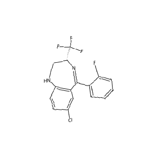 Fc1ccccc1C1=N[C@@H](C(F)(F)F)CNc2ccc(Cl)cc21